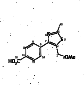 COCc1sc(C)nc1-c1ccc(C(=O)O)cc1